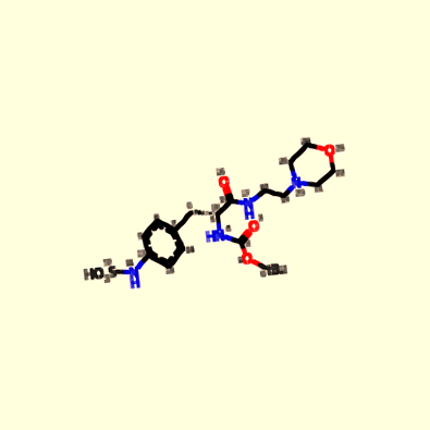 CC(C)(C)OC(=O)N[C@H](Cc1ccc(NS(=O)(=O)O)cc1)C(=O)NCCN1CCOCC1